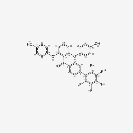 O=C(c1ccc(-c2c(F)c(F)c(F)c(F)c2F)cc1)c1c(Oc2ccc(O)cc2)cccc1Oc1ccc(O)cc1